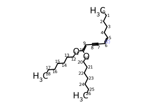 CCCCC/C=C\C#CC=C(OCCCCCCC)OCCCCCCC